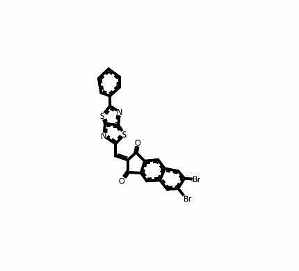 O=C1C(=Cc2nc3sc(-c4ccccc4)nc3s2)C(=O)c2cc3cc(Br)c(Br)cc3cc21